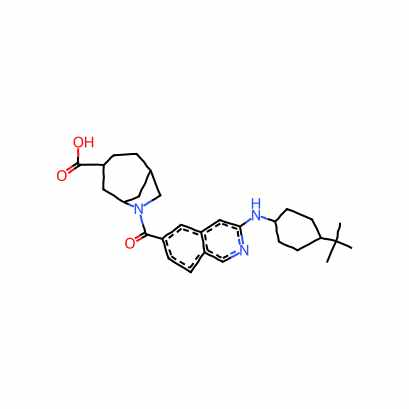 CC(C)(C)C1CCC(Nc2cc3cc(C(=O)N4CC5CCC(C(=O)O)CC4C5)ccc3cn2)CC1